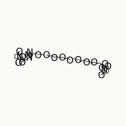 O=C(CCOCCOCCOCCOCCOCCOCCOCCOCc1cn(CC(=O)ON2C(=O)CCC2=O)nn1)ON1C(=O)CCC1=O